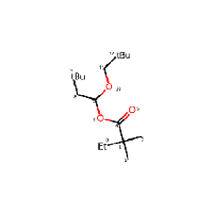 CCC(C)(C)C(=O)OC(CC(C)(C)C)OCC(C)(C)C